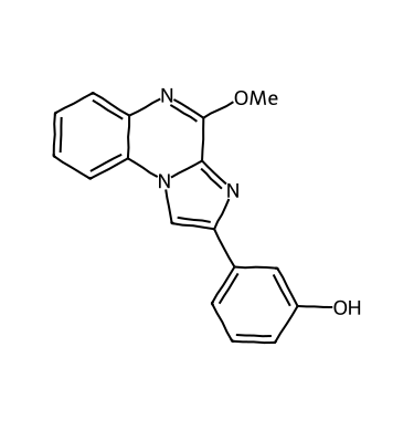 COc1nc2ccccc2n2cc(-c3cccc(O)c3)nc12